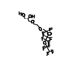 OCC(O)COCCOCC(F)(F)OC(F)(F)C(F)(F)OC(F)(F)C(F)F